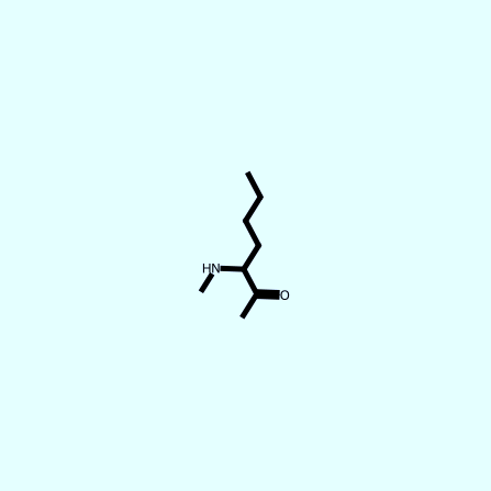 CCCCC(NC)C(C)=O